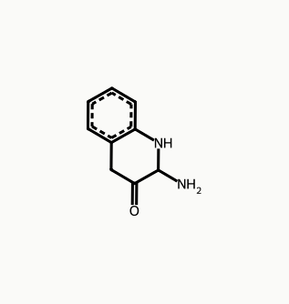 NC1Nc2ccccc2CC1=O